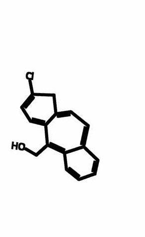 OCC1=c2ccccc2=CC=C2CC(Cl)=CC=C21